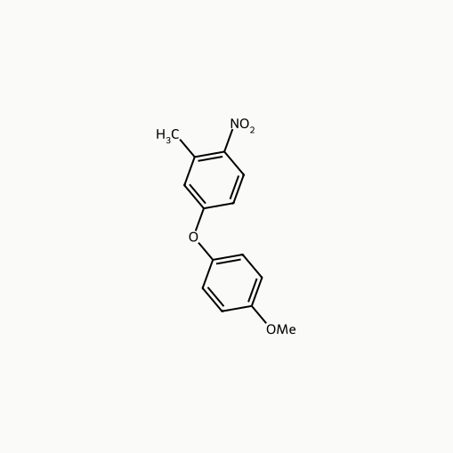 COc1ccc(Oc2ccc([N+](=O)[O-])c(C)c2)cc1